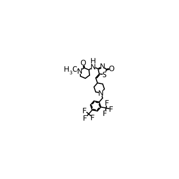 CN1CCCC(NC2=NC(=O)SC2=CC2CCN(Cc3ccc(C(F)(F)F)cc3C(F)(F)F)CC2)C1=O